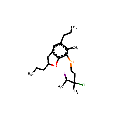 CCCc1cc2c(c(PCCC(C)(Cl)C(C)I)c1C)OC(CCC)C2